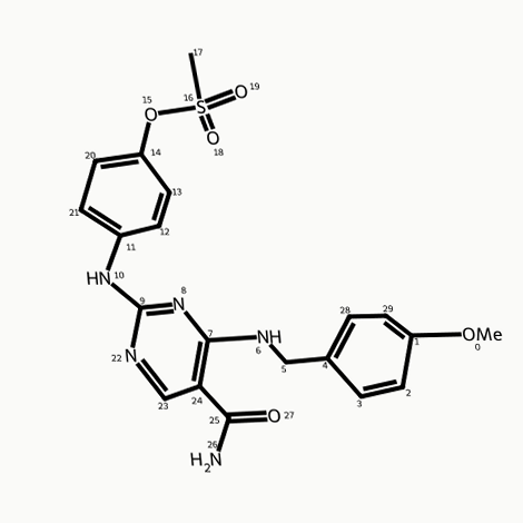 COc1ccc(CNc2nc(Nc3ccc(OS(C)(=O)=O)cc3)ncc2C(N)=O)cc1